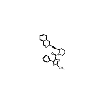 Cc1nc(C(=O)N2CCCCC2C#Cc2cc3ccccc3cn2)c(-c2ccccc2)s1